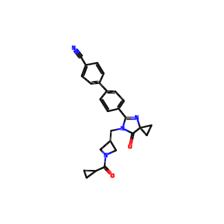 N#Cc1ccc(-c2ccc(C3=NC4(CC4)C(=O)N3CC3CN(C(=O)C4CC4)C3)cc2)cc1